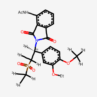 [2H]C([2H])([2H])Oc1ccc([C@]([2H])(N2C(=O)c3cccc(NC(C)=O)c3C2=O)C([2H])([2H])S(=O)(=O)C([2H])([2H])[2H])cc1OCC